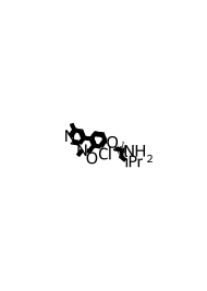 Cc1cc2c3ccc(OC[C@@](C)(N)CC(C)C)c(Cl)c3c(=O)n(C)c2cn1